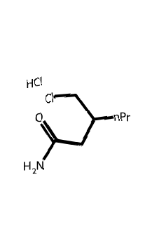 CCCC(CCl)CC(N)=O.Cl